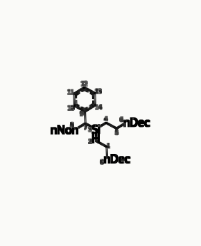 CCCCCCCCCCCC[SiH](CCCCCCCCCCCC)C(CCCCCCCCC)c1ccccc1